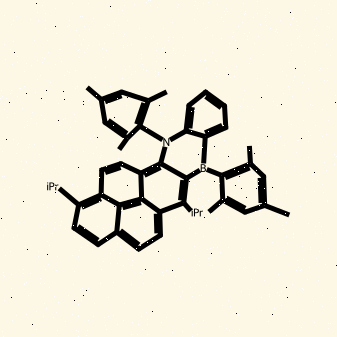 Cc1cc(C)c(B2c3ccccc3N(c3c(C)cc(C)cc3C)c3c2c(C(C)C)c2ccc4ccc(C(C)C)c5ccc3c2c45)c(C)c1